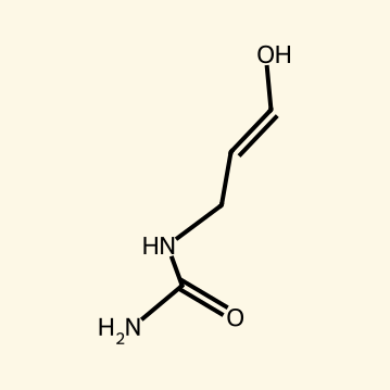 NC(=O)NCC=CO